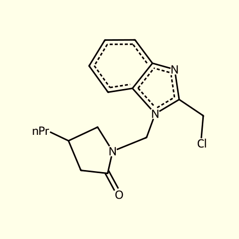 CCCC1CC(=O)N(Cn2c(CCl)nc3ccccc32)C1